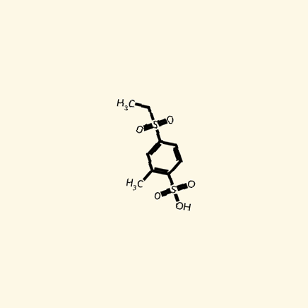 CCS(=O)(=O)c1ccc(S(=O)(=O)O)c(C)c1